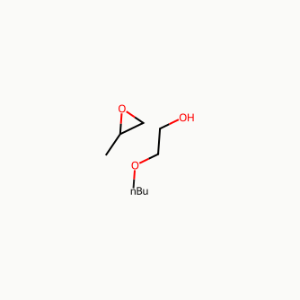 CC1CO1.CCCCOCCO